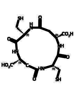 O=C1C[C@H](C(=O)O)NC(=O)[C@H](CS)NC(=O)C[C@H](C(=O)O)NC(=O)[C@H](CS)N1